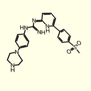 CS(=O)(=O)c1ccc(-c2ccc/c(=N/C(=N)Nc3ccc(N4CCNCC4)cc3)[nH]2)cc1